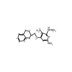 NNc1nc(N)cc(OCC2CCc3ccccc3C2)c1N